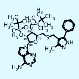 Cc1n[nH]c(-c2ccccc2)c1CSC[C@H]1O[C@@H](n2ccc3c(N)ncnc32)[C@H](O[Si](C)(C)C(C)(C)C)[C@@H]1O[Si](C)(C)C(C)(C)C